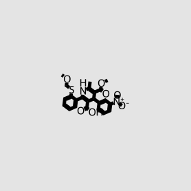 COCSc1ccccc1C1=C(C(=O)O)C(c2cccc([N+](=O)[O-])c2)C(C(=O)OC)=C(C)N1